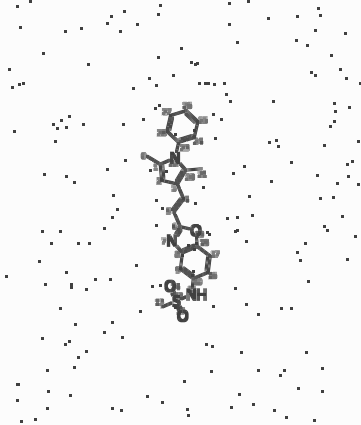 Cc1cc(C=Cc2nc3cc(NS(C)(=O)=O)ccc3o2)c(C)n1-c1ccccc1